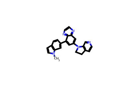 Cn1ccc2ccc(-c3cc(N4CCc5ccncc54)cc4nccnc34)cc21